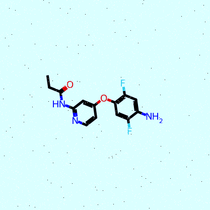 CCC(=O)Nc1cc(Oc2cc(F)c(N)cc2F)ccn1